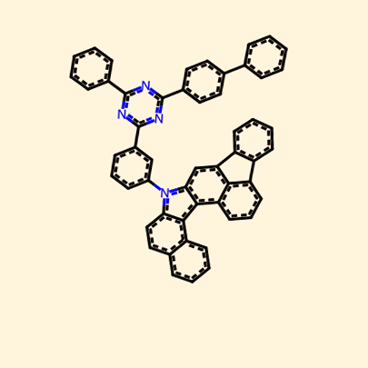 c1ccc(-c2ccc(-c3nc(-c4ccccc4)nc(-c4cccc(-n5c6ccc7ccccc7c6c6c7cccc8c7c(cc65)-c5ccccc5-8)c4)n3)cc2)cc1